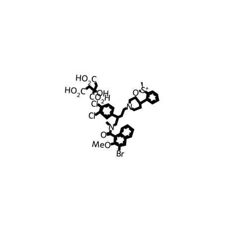 COc1c(Br)cc2ccccc2c1C(=O)N(C)CC(CCN1CCC(c2ccccc2[S@+](C)[O-])CC1)c1ccc(Cl)c(Cl)c1.O=C(O)CC(O)(CC(=O)O)C(=O)O